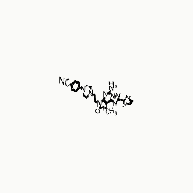 Cn1c(=O)n(CCN2CCN(c3ccc(C#N)cc3)CC2)c2nc(N)n3nc(-c4nccs4)nc3c21